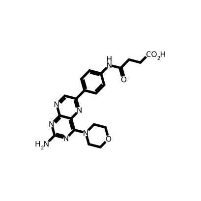 Nc1nc(N2CCOCC2)c2nc(-c3ccc(NC(=O)CCC(=O)O)cc3)cnc2n1